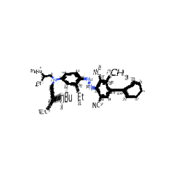 CCCCC(CC)CN(CC(CC)CCCC)c1ccc(N=Nc2c(C#N)cc(C3CCCCC3)c(C)c2C#N)c(CC)c1